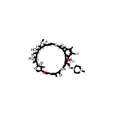 CO[C@H]1/C=C/O[C@@]2(C)Oc3c(C)c(O)c4c(O)c(c(/C=N/N5CCN(C)CC5)c(O)c4c3C2=O)NC(=O)/C(C)=C\C=C\C2(C)CO[C@H]([C@@H](C)[C@@H](O)[C@@H](C)[C@H](O)[C@@H]1C)[C@H]2C